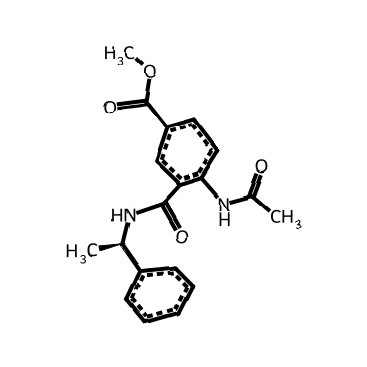 COC(=O)c1ccc(NC(C)=O)c(C(=O)N[C@H](C)c2ccccc2)c1